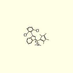 CC1=C(C)C(C)[C]([Zr]([CH]2C=C(c3c(Cl)cccc3Cl)c3ccccc32)=[Si](C)C)=C1C